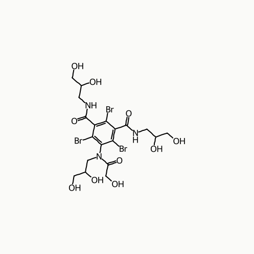 O=C(NCC(O)CO)c1c(Br)c(C(=O)NCC(O)CO)c(Br)c(N(CC(O)CO)C(=O)CO)c1Br